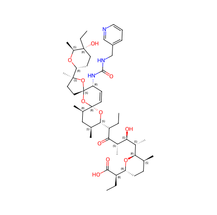 CCC(C(=O)[C@@H](C)[C@@H](O)[C@H](C)[C@@H]1O[C@@H]([C@@H](CC)C(=O)O)CC[C@@H]1C)[C@H]1O[C@]2(C=C[C@@H](NC(=O)NCc3cccnc3)[C@]3(CC[C@@](C)([C@H]4CC[C@](O)(CC)[C@H](C)O4)O3)O2)[C@H](C)C[C@@H]1C